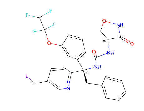 O=C(N[C@@H]1CONC1=O)N[C@@](Cc1ccccc1)(c1cccc(OC(F)(F)C(F)F)c1)c1ccc(CI)cn1